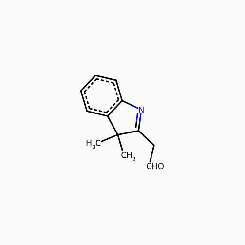 CC1(C)C(CC=O)=Nc2ccccc21